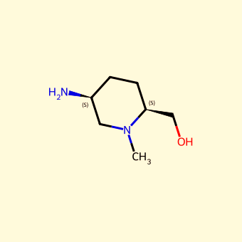 CN1C[C@@H](N)CC[C@H]1CO